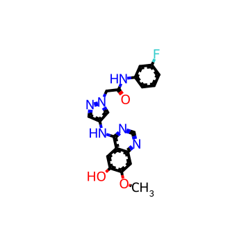 COc1cc2ncnc(Nc3cnn(CC(=O)Nc4cccc(F)c4)c3)c2cc1O